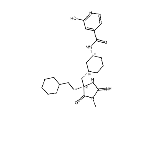 CN1C(=N)N[C@](CCC2CCCCC2)(C[C@H]2CCC[C@@H](NC(=O)c3ccnc(O)c3)C2)C1=O